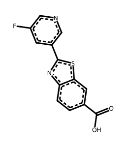 O=C(O)c1ccc2nc(-c3cncc(F)c3)sc2c1